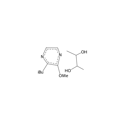 CC(O)C(C)O.CCC(C)c1nccnc1OC